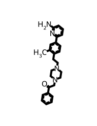 Cc1cc(-c2cccc(N)n2)ccc1CCN1CCN(CC(=O)c2ccccc2)CC1